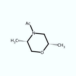 CC(=O)N1C[C@H](C)OC[C@@H]1C